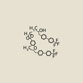 CCC(Cc1ccc(-c2ccc(C(F)(F)F)cc2)cc1)Oc1ccc(C(=O)OC)cc1.CCC(O)Cc1ccc(-c2ccc(C(F)(F)F)cc2)cc1